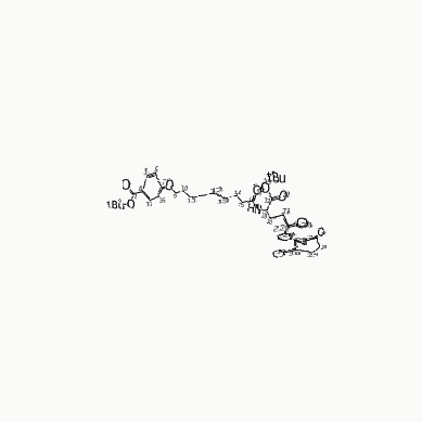 CC(C)(C)OC(=O)c1ccc(OCCCCCCCC(=O)NC(CCC(=O)ON2C(=O)CCC2=O)C(=O)OC(C)(C)C)cc1